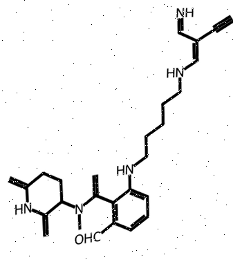 C#C/C(C=N)=C/NCCCCCNc1cccc(C=O)c1C(=C)N(C)C1CCC(=C)NC1=C